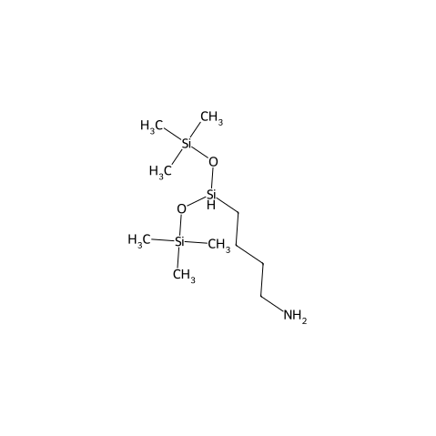 C[Si](C)(C)O[SiH](CCCCN)O[Si](C)(C)C